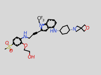 CS(=O)(=O)c1ccc(NCC#Cc2cc3c(N[C@H]4CC[C@@H](N5CC6(COC6)C5)CC4)cccc3n2CC(F)(F)F)c(OCCO)c1